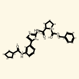 O=C(Nc1cccc(-c2cnc(NC(=O)C3CCCN3C(=O)OCc3ccccc3)s2)c1)C1CCCC1